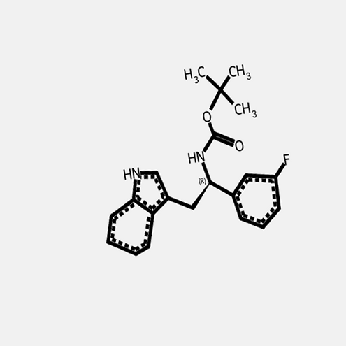 CC(C)(C)OC(=O)N[C@H](Cc1c[nH]c2ccccc12)c1cccc(F)c1